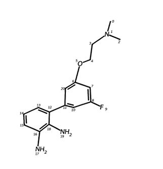 CN(C)CCOc1cc(F)cc(-c2cccc(N)c2N)c1